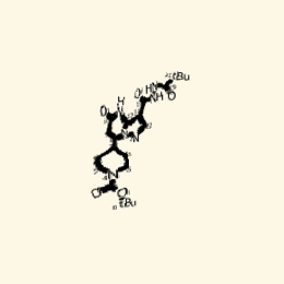 CC(C)(C)OC(=O)N1CCC(c2cc(=O)[nH]c3c(C(=O)NNC(=O)C(C)(C)C)cnn23)CC1